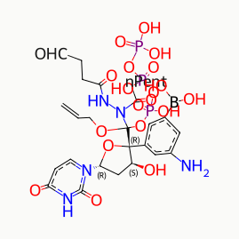 C=CCOC(OP(=O)(O)OP(=O)(O)OP(=O)(O)O)(N(NC(=O)CCC=O)C(=O)CCCCC)[C@]1(c2cc(N)cc(B(O)O)c2)O[C@@H](n2ccc(=O)[nH]c2=O)C[C@@H]1O